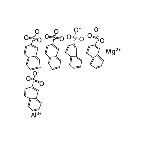 O=S(=O)([O-])c1ccc2ccccc2c1.O=S(=O)([O-])c1ccc2ccccc2c1.O=S(=O)([O-])c1ccc2ccccc2c1.O=S(=O)([O-])c1ccc2ccccc2c1.O=S(=O)([O-])c1ccc2ccccc2c1.[Al+3].[Mg+2]